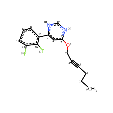 CCCC#CCOc1cc(-c2cccc(F)c2F)ncn1